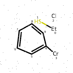 CCS.[C].[Cr][c]1ccccc1